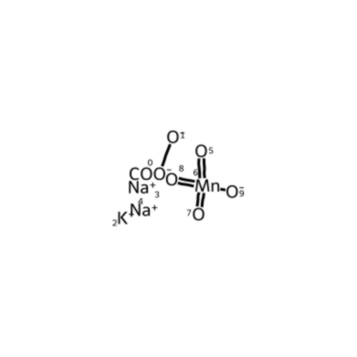 O=C([O-])[O-].[K+].[Na+].[Na+].[O]=[Mn](=[O])(=[O])[O-]